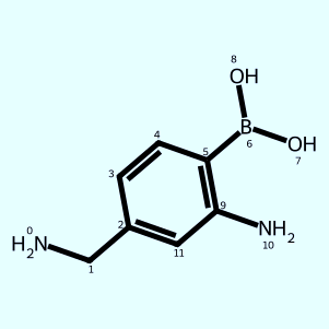 NCc1ccc(B(O)O)c(N)c1